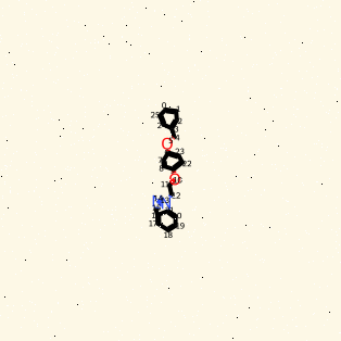 c1ccc(COc2ccc(OCCn3ncc4ccccc43)cc2)cc1